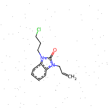 C=CCn1c(=O)n(CCCCl)c2ccccc21